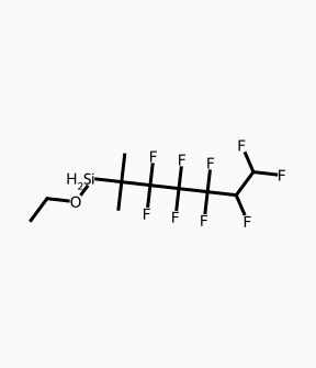 CCO[SiH2]C(C)(C)C(F)(F)C(F)(F)C(F)(F)C(F)C(F)F